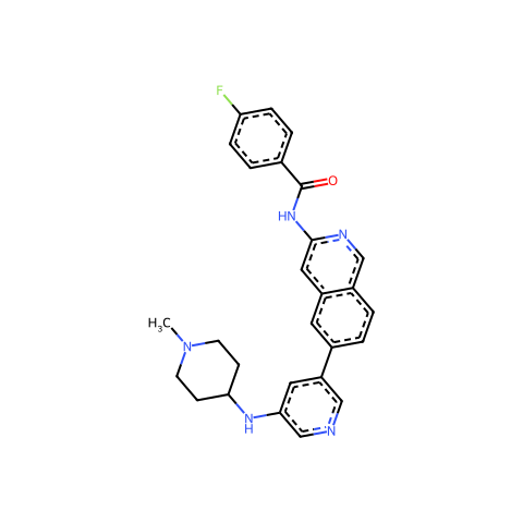 CN1CCC(Nc2cncc(-c3ccc4cnc(NC(=O)c5ccc(F)cc5)cc4c3)c2)CC1